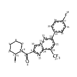 C[C@H]1CCCCN1C(=O)c1cn2nc(-c3ccc(F)cc3)cc(C(F)(F)F)c2n1